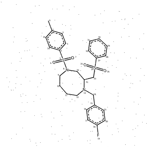 Cc1ccc(S(=O)(=O)N2CCCCN(Cc3ccc(F)cc3)C(CS(=O)(=O)c3ccccc3)C2)cc1